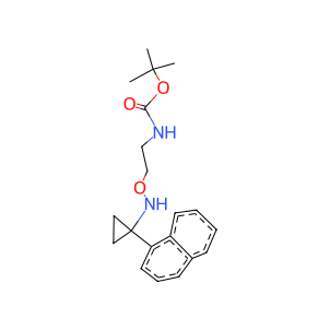 CC(C)(C)OC(=O)NCCONC1(c2cccc3ccccc23)CC1